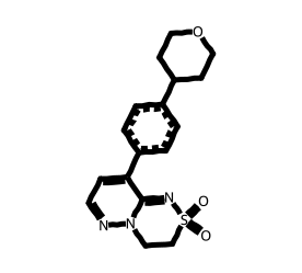 O=S1(=O)CCN2N=CC=C(c3ccc(C4CCOCC4)cc3)C2=N1